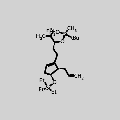 C=CC[C@@H]1C(CC[C@H](O[Si](C)(C)C(C)(C)C)C(C)CCCC)=CC[C@@H]1O[Si](CC)(CC)CC